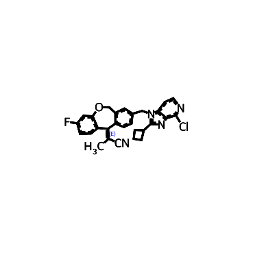 C/C(C#N)=C1/c2ccc(Cn3c(C4CCC4)nc4c(Cl)nccc43)cc2COc2cc(F)ccc21